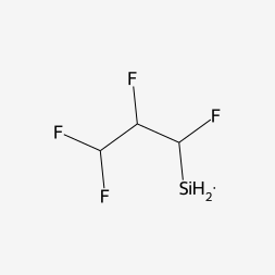 FC(F)C(F)C(F)[SiH2]